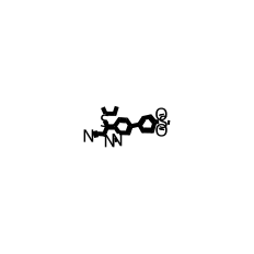 CCC(C)Sc1c(C#N)nnc2cc(-c3ccc(S(C)(=O)=O)cc3)ccc12